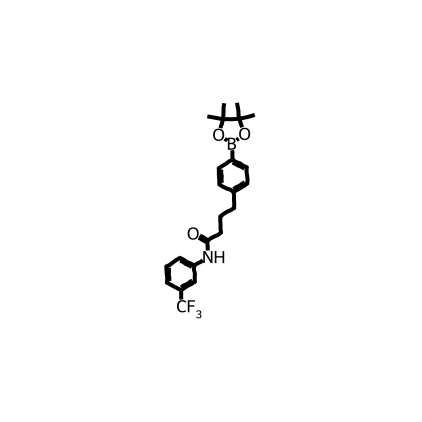 CC1(C)OB(c2ccc(CCCC(=O)Nc3cccc(C(F)(F)F)c3)cc2)OC1(C)C